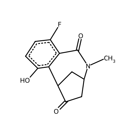 CN1C(=O)c2c(F)ccc(O)c2C2CC1CC2=O